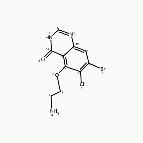 NCCOc1c(Cl)c(Br)cc2nc[nH]c(=O)c12